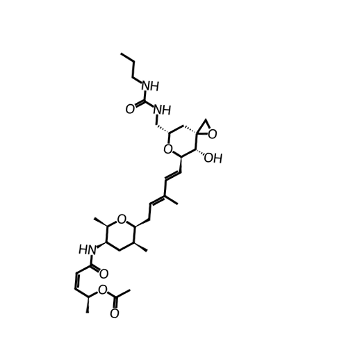 CCCNC(=O)NC[C@@H]1C[C@@]2(CO2)[C@H](O)[C@@H](/C=C/C(C)=C/C[C@@H]2O[C@H](C)[C@H](NC(=O)/C=C\[C@H](C)OC(C)=O)C[C@@H]2C)O1